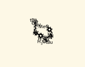 COc1ccc(Cn2nnc([C@@H](COc3ccc(-c4cnn(CCCNC(=O)OC(C)(C)C)c4)cc3)O[Si](C)(C)C(C)(C)C)n2)cc1